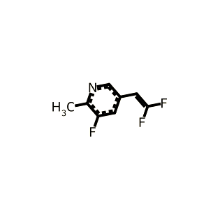 Cc1ncc(C=C(F)F)cc1F